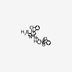 Bc1cnn2c(NCC3CCCN(S(=O)(=O)c4ccccc4Cl)C3)cc(-c3ccccc3Cl)nc12